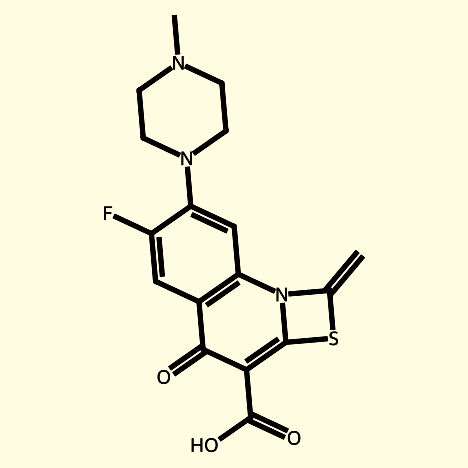 C=c1sc2c(C(=O)O)c(=O)c3cc(F)c(N4CCN(C)CC4)cc3n12